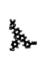 COc1ccc(Oc2nc(-c3cncc(C#N)c3)ncc2N2CCN(C(=O)OC(C)(C)C)CC2=O)cc1